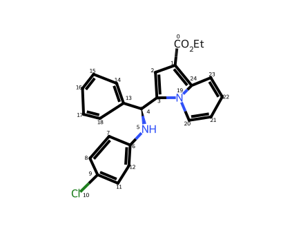 CCOC(=O)c1cc([C@@H](Nc2ccc(Cl)cc2)c2ccccc2)n2ccccc12